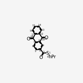 CCCSC(=O)c1ccc2c(c1)C(=O)c1ccccc1C2=O